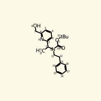 CC(c1cccc(CO)n1)N(CCc1ccccc1)C(=O)OC(C)(C)C